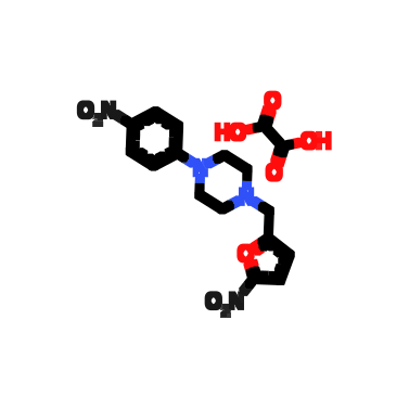 O=C(O)C(=O)O.O=[N+]([O-])c1ccc(N2CCN(Cc3ccc([N+](=O)[O-])o3)CC2)cc1